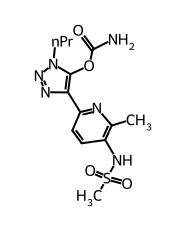 CCCn1nnc(-c2ccc(NS(C)(=O)=O)c(C)n2)c1OC(N)=O